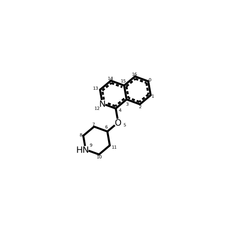 c1ccc2c(OC3CCNCC3)nccc2c1